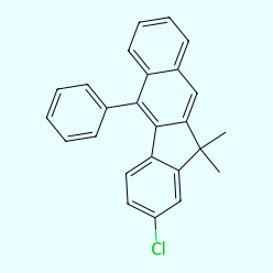 CC1(C)c2cc(Cl)ccc2-c2c1cc1ccccc1c2-c1ccccc1